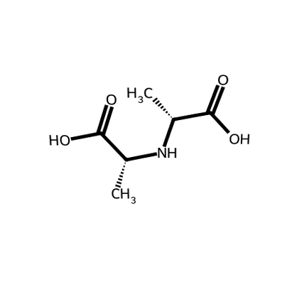 C[C@@H](N[C@H](C)C(=O)O)C(=O)O